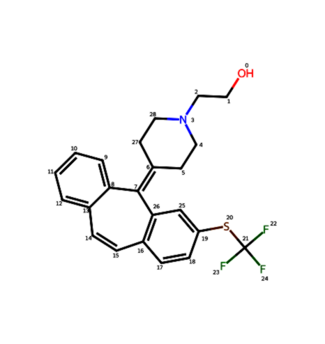 OCCN1CCC(=C2c3ccccc3C=Cc3ccc(SC(F)(F)F)cc32)CC1